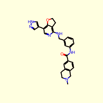 CN1CCc2cc(C(=O)Nc3cccc(CNc4ncc(-c5cn[nH]c5)c5c4CCO5)c3)ccc2C1